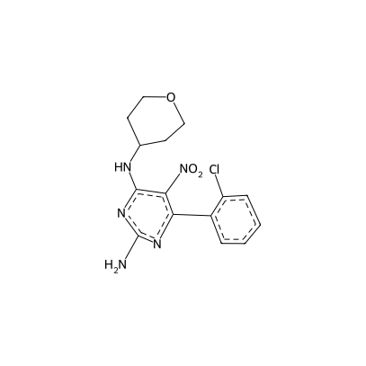 Nc1nc(NC2CCOCC2)c([N+](=O)[O-])c(-c2ccccc2Cl)n1